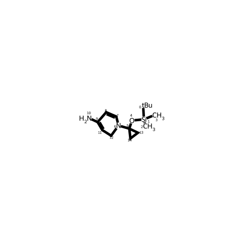 CC(C)(C)[Si](C)(C)OC1(N2C=CC(N)=CC2)CC1